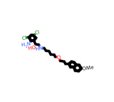 COc1ccc2cc(CCCOCCCCCCNCC(O)c3cc(Cl)cc(Cl)c3N)ccc2c1